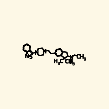 CCNC1Cc2ccc(CCN3CCN(c4snc5ccccc45)CC3)cc2C1(C)C